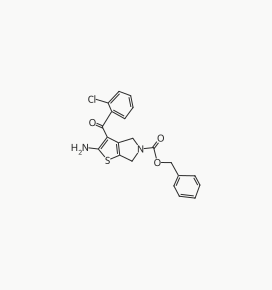 Nc1sc2c(c1C(=O)c1ccccc1Cl)CN(C(=O)OCc1ccccc1)C2